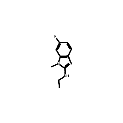 CCNc1nc2ccc(F)cc2n1C